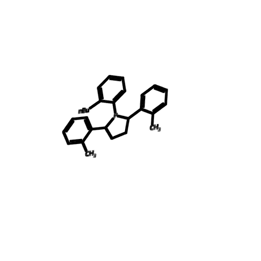 CCCCc1ccccc1P1C(c2ccccc2C)CCC1c1ccccc1C